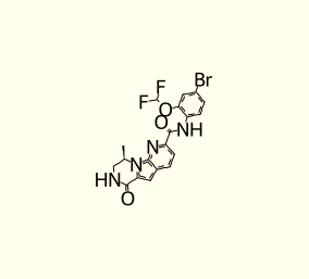 C[C@@H]1CNC(=O)c2cc3ccc(C(=O)Nc4ccc(Br)cc4OC(F)F)nc3n21